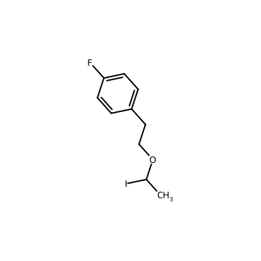 CC(I)OCCc1ccc(F)cc1